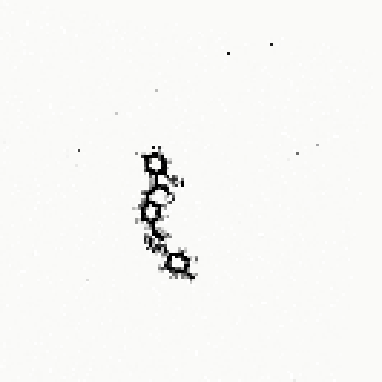 O=C1Nc2ccccc2C1=Cc1ccc(-c2cn(-c3ccc(F)cc3)nn2)cc1